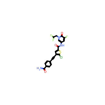 NC(=O)c1ccc(C#Cc2cc(C(=O)Nc3cc(F)c(=O)n(CC(F)F)c3)sc2Cl)cc1